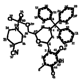 Cc1cn(C2CN(C(c3ccccc3)(c3ccccc3)c3ccccc3)CC(COP(=O)(Cl)N3CCC(C#N)CC3)O2)c(=O)[nH]c1=O